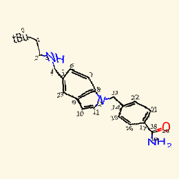 CC(C)(C)CCNCc1ccc2c(ccn2Cc2ccc(C(N)=O)cc2)c1